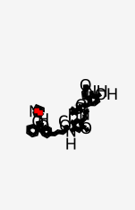 COc1cc(NC(=O)CCCc2ccc(C3(C(=O)O[C@H]4CN5CCC4CC5)CCCCC3)cc2)c(Cl)cc1CNC[C@H](O[Si](C)(C)C(C)(C)C)c1ccc(O)c2[nH]c(=O)ccc12